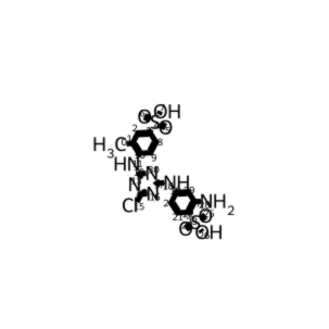 Cc1cc(S(=O)(=O)O)ccc1Nc1nc(Cl)nc(Nc2ccc(S(=O)(=O)O)c(N)c2)n1